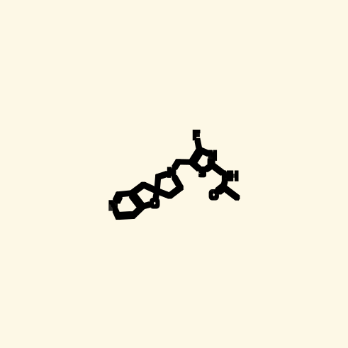 CC(=O)Nc1nc(F)c(CN2CCC3(Cc4cnccc4O3)C2)s1